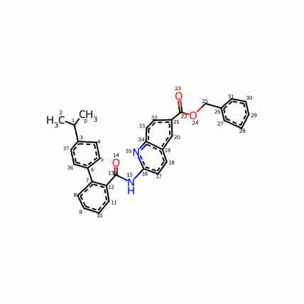 CC(C)c1ccc(-c2ccccc2C(=O)Nc2ccc3cc(C(=O)OCc4ccccc4)ccc3n2)cc1